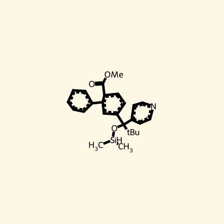 COC(=O)c1ccc(C(O[SiH](C)C)(c2ccncc2)C(C)(C)C)cc1-c1ccccc1